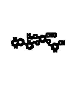 Cc1c(COc2cc(OCc3cncc(C#N)c3)c(C=O)cc2Cl)cccc1-c1ccc2nccnc2c1